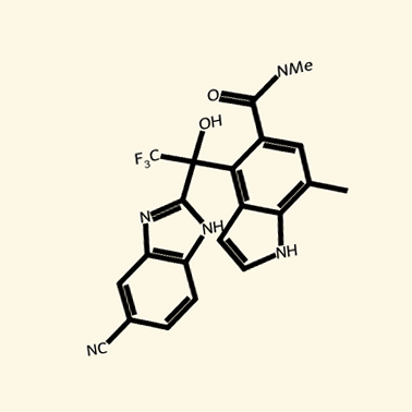 CNC(=O)c1cc(C)c2[nH]ccc2c1C(O)(c1nc2cc(C#N)ccc2[nH]1)C(F)(F)F